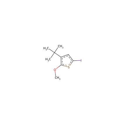 COc1sc(I)cc1C(C)(C)C